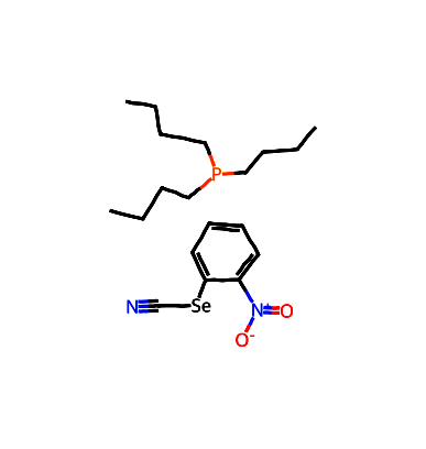 CCCCP(CCCC)CCCC.N#C[Se]c1ccccc1[N+](=O)[O-]